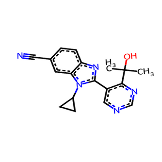 CC(C)(O)c1ncncc1-c1nc2ccc(C#N)cc2n1C1CC1